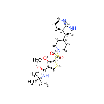 COc1c(C(=O)NC(C)(C)C)csc1S(=O)(=O)N1CCC(c2c[nH]c3ncccc23)CC1